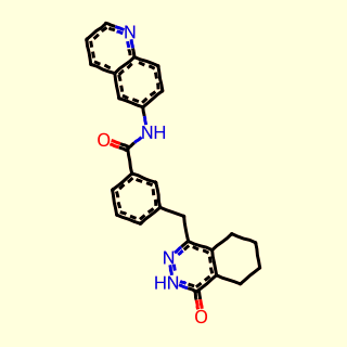 O=C(Nc1ccc2ncccc2c1)c1cccc(Cc2n[nH]c(=O)c3c2CCCC3)c1